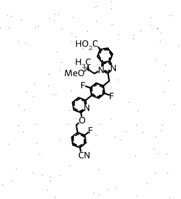 CO[C@H](C)Cn1c(Cc2cc(F)c(-c3cccc(OCc4ccc(C#N)cc4F)n3)cc2F)nc2ccc(C(=O)O)cc21